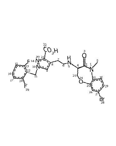 CN1C(=O)C(NCCc2cn(Cc3c(F)cccc3F)nc2C(=O)O)COc2cc(Br)ccc21